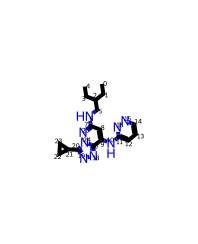 CCC(CC)CNc1cc(Nc2cccnn2)c2nnc(C3CC3)n2n1